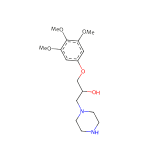 COc1cc(OCC(O)CN2CCNCC2)cc(OC)c1OC